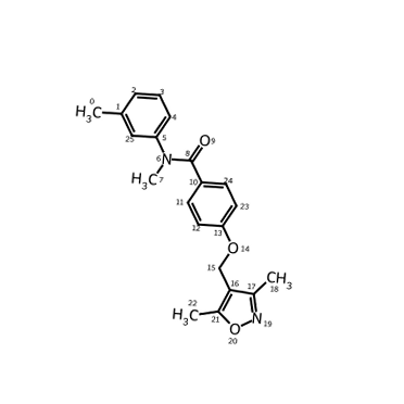 Cc1cccc(N(C)C(=O)c2ccc(OCc3c(C)noc3C)cc2)c1